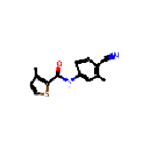 Cc1cc(NC(=O)c2sccc2C)ccc1C#N